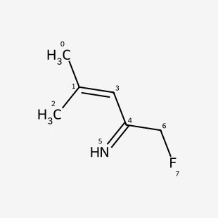 CC(C)=CC(=N)CF